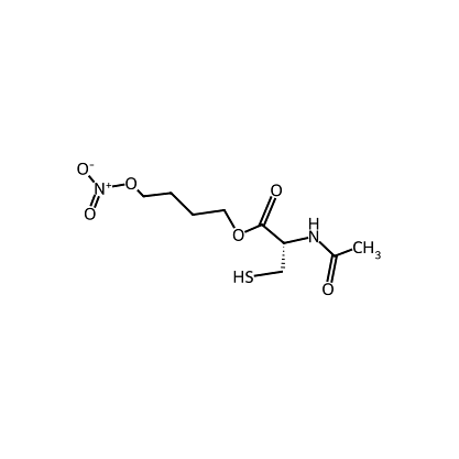 CC(=O)N[C@H](CS)C(=O)OCCCCO[N+](=O)[O-]